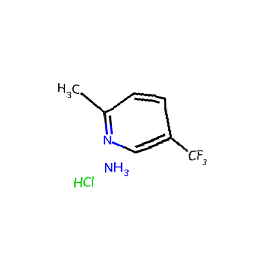 Cc1ccc(C(F)(F)F)cn1.Cl.N